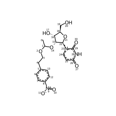 CC(OCCc1ccc([N+](=O)[O-])cc1)O[C@@H]1[C@H](O)[C@@H](CO)O[C@H]1n1ccc(=O)[nH]c1=O